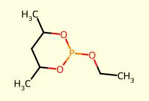 CCOP1OC(C)CC(C)O1